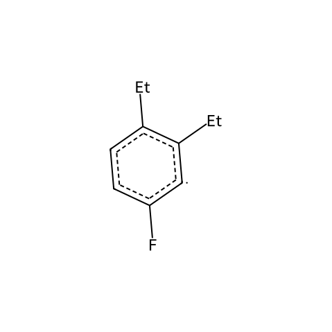 CCc1[c]c(F)ccc1CC